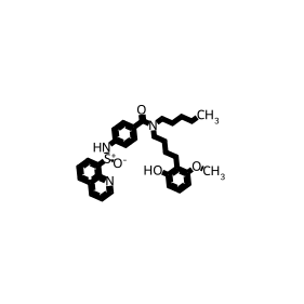 CCCCCN(CCCCc1c(O)cccc1OC)C(=O)c1ccc(N[S@@+]([O-])c2cccc3cccnc23)cc1